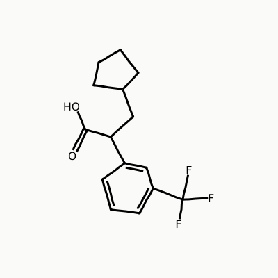 O=C(O)C(CC1CCCC1)c1cccc(C(F)(F)F)c1